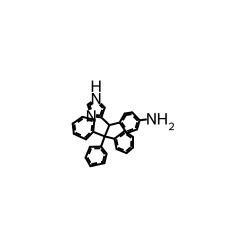 Nc1ccc(C(c2c[nH]cn2)C(c2ccccc2)(c2ccccc2)c2ccccc2)cc1